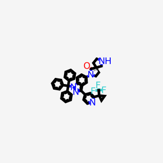 O=C1N(c2ccc3c(c2)c(-c2ccnc(C4(C(F)(F)F)CC4)c2)nn3C(c2ccccc2)(c2ccccc2)c2ccccc2)CC[C@]12CCNC2